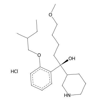 CCC(C)COc1ccccc1[C@](O)(CCCCOC)C1CCCNC1.Cl